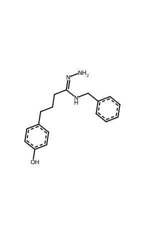 N/N=C(/CCCc1ccc(O)cc1)NCc1ccccc1